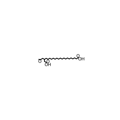 O=C(O)CCCCCCCCCCCCCCCCCCC(CC(=O)O)CC1CO1